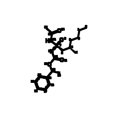 CCCC[C@H](C)C[S@@](=O)(=NC(=O)O[C@@H](C)c1ccccc1)NC(C)=O